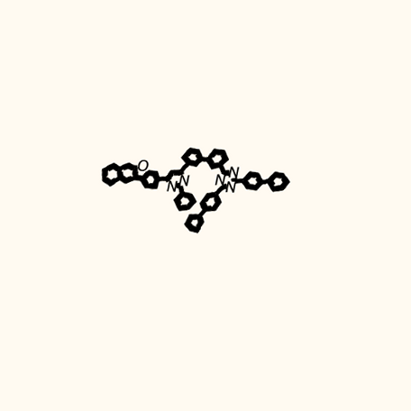 c1ccc(-c2ccc(-c3nc(-c4ccc(-c5ccccc5)cc4)nc(-c4cccc(-c5cccc(-c6cc(-c7ccc8c(c7)oc7cc9ccccc9cc78)nc(-c7ccccc7)n6)c5)c4)n3)cc2)cc1